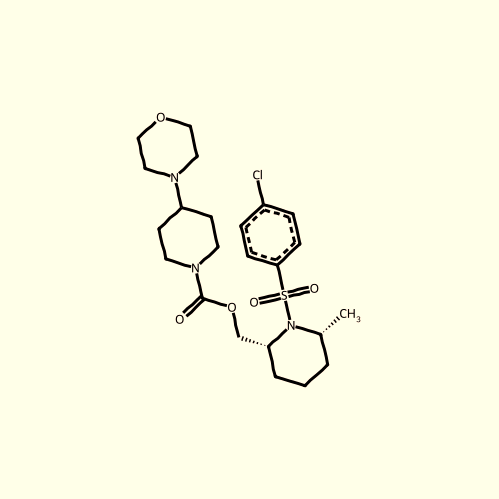 C[C@@H]1CCC[C@H](COC(=O)N2CCC(N3CCOCC3)CC2)N1S(=O)(=O)c1ccc(Cl)cc1